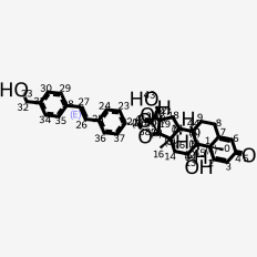 C[C@]12C=CC(=O)C=C1CC[C@@H]1[C@@H]2[C@@H](O)C[C@@]2(C)[C@H]1C[C@H]1O[C@@H](c3ccc(/C=C/c4ccc(CO)cc4)cc3)O[C@]12C(=O)CO